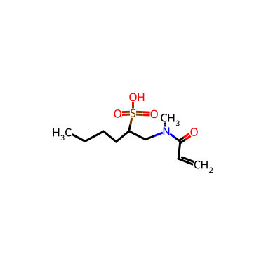 C=CC(=O)N(C)CC(CCCC)S(=O)(=O)O